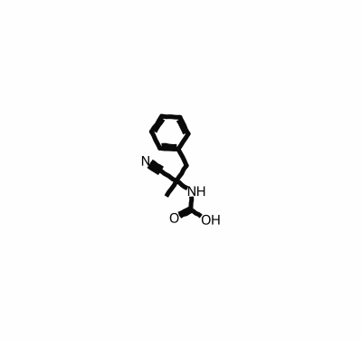 CC(C#N)(Cc1ccccc1)NC(=O)O